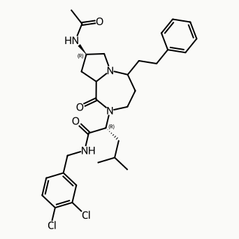 CC(=O)N[C@@H]1CC2C(=O)N([C@H](CC(C)C)C(=O)NCc3ccc(Cl)c(Cl)c3)CCC(CCc3ccccc3)N2C1